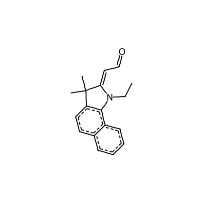 CCN1/C(=C\C=O)C(C)(C)c2ccc3ccccc3c21